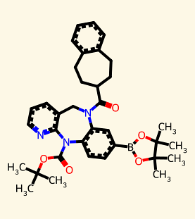 CC(C)(C)OC(=O)N1c2ccc(B3OC(C)(C)C(C)(C)O3)cc2N(C(=O)C2CCc3ccccc3CC2)Cc2cccnc21